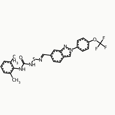 Cc1cccc(C)c1NC(=O)NS/N=C/c1ccc2cn(-c3ccc(OC(F)(F)F)cc3)nc2c1